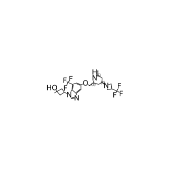 C[C@H]1C[C@@H](N2CC(C(F)(F)F)C2)C[C@@H](COc2cc(C(F)(F)F)c3c(c2)ncn3C2CC(C)(O)C2)N1